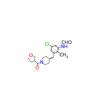 Cc1c(C=C2CCN(C(=O)C3CCOC3)CC2)cc(Cl)cc1NC=O